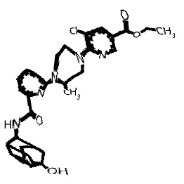 CCOC(=O)c1cnc(N2CCN(c3cccc(C(=O)NC4C5CC6CC4CC(O)(C6)C5)n3)C(C)C2)c(Cl)c1